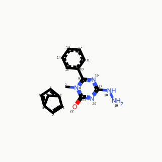 C1=CC2=CC=C1C2.Cn1c(-c2ccccc2)nc(NN)nc1=O